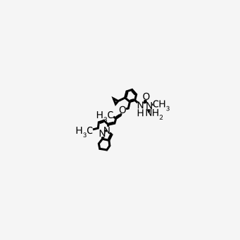 CC\C=C/C(=C\C(C)=C\OCc1c(NC(=O)N(C)N)cccc1C1CC1)n1cc2c(n1)CCCC2